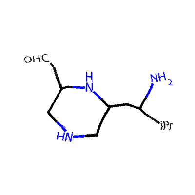 CC(C)C(N)C1CNCC(C=O)N1